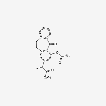 CCC(=O)Oc1cc(C(C)C(=O)OC)cc2c1C(=O)c1ccccc1CC2